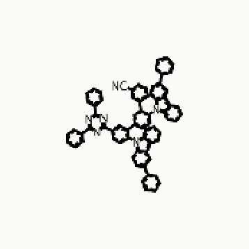 N#Cc1cccc(-c2cc(-c3cc(-c4nc(-c5ccccc5)nc(-c5ccccc5)n4)ccc3-n3c4ccccc4c4cc(-c5ccccc5)ccc43)ccc2-n2c3ccccc3c3cc(-c4ccccc4)ccc32)c1